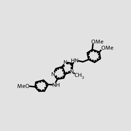 COc1ccc(Nc2cc3c(cn2)nc(NCc2ccc(OC)c(OC)c2)n3C)cc1